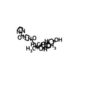 C[C@H](CCC(=O)N1CCN(C(=O)c2ncccn2)CC1)[C@H]1CC[C@H]2[C@@H]3CC=C4C[C@@H](O)CC[C@]4(C)[C@H]3CC[C@]12C